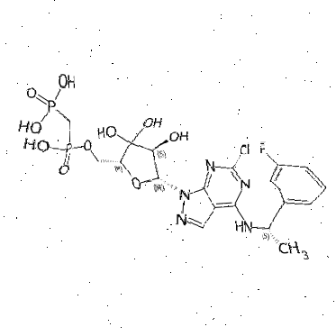 C[C@H](Nc1nc(Cl)nc2c1cnn2[C@@H]1O[C@H](COP(=O)(O)CP(=O)(O)O)C(O)(O)[C@H]1O)c1cccc(F)c1